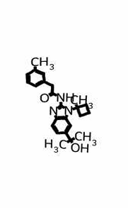 Cc1cccc(CC(=O)Nc2nc3ccc(C(C)(C)O)cc3n2C2(C)CCC2)c1